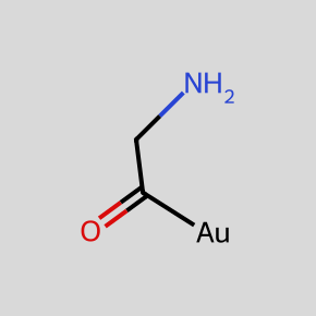 NC[C](=O)[Au]